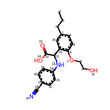 CCCc1ccc(OCCO)c(C(Nc2ccc(C#N)cc2)C(=O)O)c1